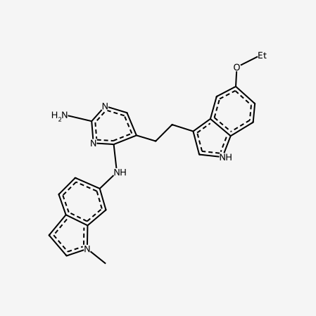 CCOc1ccc2[nH]cc(CCc3cnc(N)nc3Nc3ccc4ccn(C)c4c3)c2c1